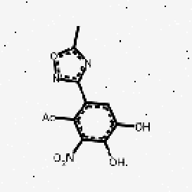 CC(=O)c1c(-c2noc(C)n2)cc(O)c(O)c1[N+](=O)[O-]